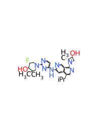 CC(C)c1cnc(N2C[C@H](O)[C@H]2C)c2cnc(Nc3ccnc(N4C[C@H](F)[C@H](O)C(C)(C)C4)n3)cc12